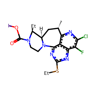 CCSc1nc2c3c(nc(Cl)c(F)c3n1)[C@@H](C)C[C@@H]1[C@H](CC)N(C(=O)OI)CCN21